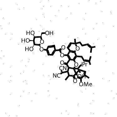 COC(=O)/C(C)=C\CC1(O)C(=O)C(C)C(C(C#N)C#N)C2C(=O)c3c(OC(=O)c4ccc(O[C@@H]5O[C@H](CO)[C@@H](O)[C@H](O)[C@H]5O)cc4)c4c(c(CC=C(C)C)c3OC21C(C)C(C)C)OC(C)(CCC=C(C)C)C=C4